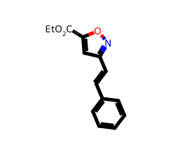 CCOC(=O)c1cc(/C=C/c2ccccc2)no1